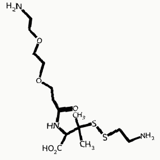 CC(C)(SSCCN)C(NC(=O)CCOCCOCCN)C(=O)O